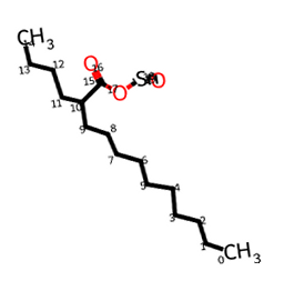 CCCCCCCCCCC(CCCC)C(=O)[O][Sn]=[O]